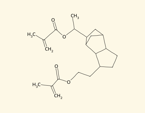 C=C(C)C(=O)OCCC1CCC2C3CC(C(C)OC(=O)C(=C)C)C(C3)C12